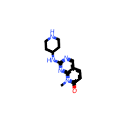 Cn1c(=O)ccc2cnc(NC3CCNCC3)nc21